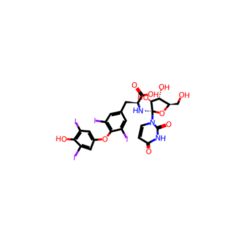 O=C(O)[C@H](Cc1cc(I)c(Oc2cc(I)c(O)c(I)c2)c(I)c1)N[C@@]1(n2ccc(=O)[nH]c2=O)O[C@H](CO)[C@@H](O)[C@H]1O